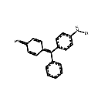 CCNc1ccc(C(=C2C=CC(=N)C=C2)c2ccccc2)cc1